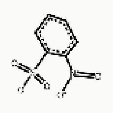 [O]S(=O)(=O)c1ccccc1[N+](=O)[O-]